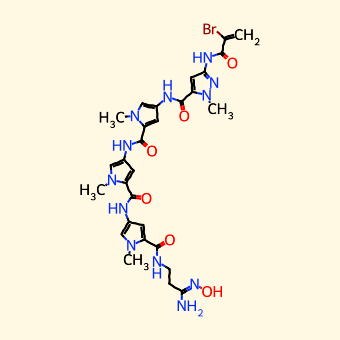 C=C(Br)C(=O)Nc1cc(C(=O)Nc2cc(C(=O)Nc3cc(C(=O)Nc4cc(C(=O)NCCC(N)=NO)n(C)c4)n(C)c3)n(C)c2)n(C)n1